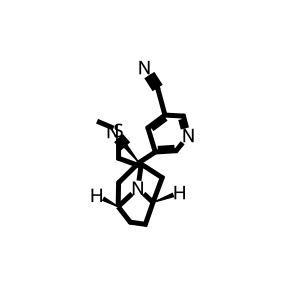 CSCCN1[C@@H]2CC[C@H]1C[C@@](C#N)(c1cncc(C#N)c1)C2